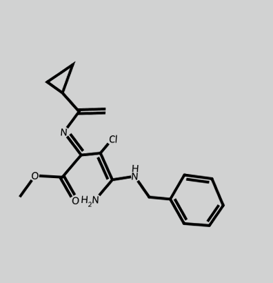 C=C(/N=C(C(=O)OC)\C(Cl)=C(/N)NCc1ccccc1)C1CC1